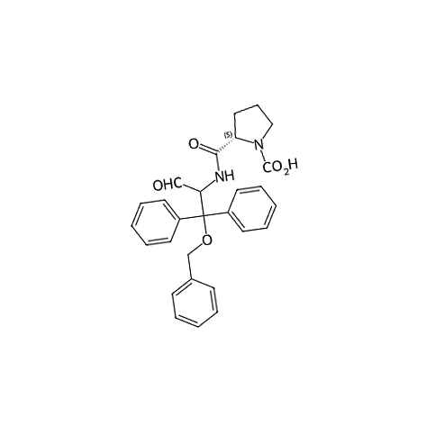 O=CC(NC(=O)[C@@H]1CCCN1C(=O)O)C(OCc1ccccc1)(c1ccccc1)c1ccccc1